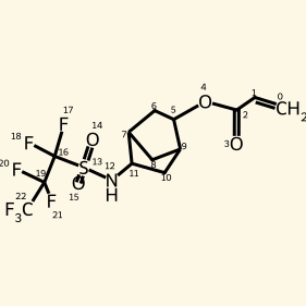 C=CC(=O)OC1CC2CC1CC2NS(=O)(=O)C(F)(F)C(F)(F)C(F)(F)F